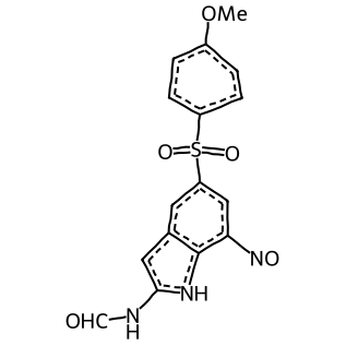 COc1ccc(S(=O)(=O)c2cc(N=O)c3[nH]c(NC=O)cc3c2)cc1